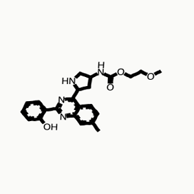 COCCOC(=O)NC1CNC(c2nc(-c3ccccc3O)nc3cc(C)ccc23)C1